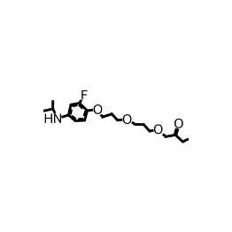 CCC(=O)COCCCOCCCOc1ccc(NC(C)C)cc1F